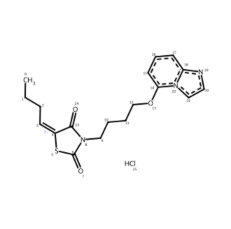 CCC/C=C1/SC(=O)N(CCCCOc2cccc3nccn23)C1=O.Cl